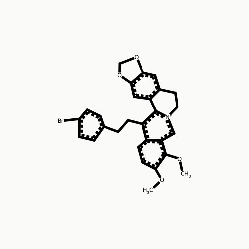 COc1ccc2c(CCc3ccc(Br)cc3)c3[n+](cc2c1OC)CCc1cc2c(cc1-3)OCO2